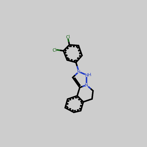 Clc1ccc(N2C=C3c4ccccc4CCN3N2)cc1Cl